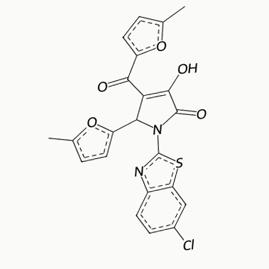 Cc1ccc(C(=O)C2=C(O)C(=O)N(c3nc4ccc(Cl)cc4s3)C2c2ccc(C)o2)o1